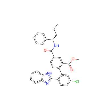 CCC[C@@H](NC(=O)c1ccc(-c2cc(Cl)ccc2-c2nc3ccccc3[nH]2)c(C(=O)OC)c1)c1ccccc1